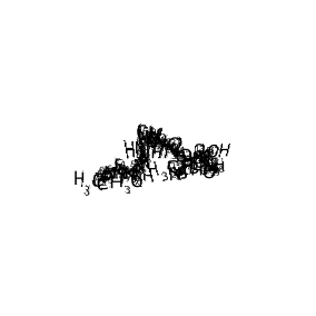 Cc1ncsc1-c1ccc(CNC(=O)[C@@H]2C[C@@H](O)CN2C(=O)[C@@H](NC(=O)C2(F)CC2)C(C)(C)C)c(OCCNC(=O)CCN2C[C@H]3C[C@@H](N(C)CCNc4cc(N5CCC6(CC5)CN(c5cc(F)c(CN7CCC(C)(C)CC7)cc5F)CC(=O)N6)ncn4)C[C@H]3C2)c1